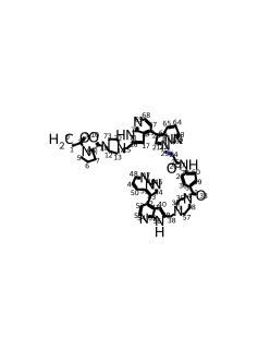 C=CC(=O)N1CCC[C@H]1C(=O)N1CCN(Cc2cc3c(-c4c[n+](/C=C/C(=O)Nc5ccc(C(=O)N6CCN(Cc7cc8c(-c9cnn%10ncccc9%10)ccnc8[nH]7)CC6)cc5)n5ncccc45)ccnc3[nH]2)CC1